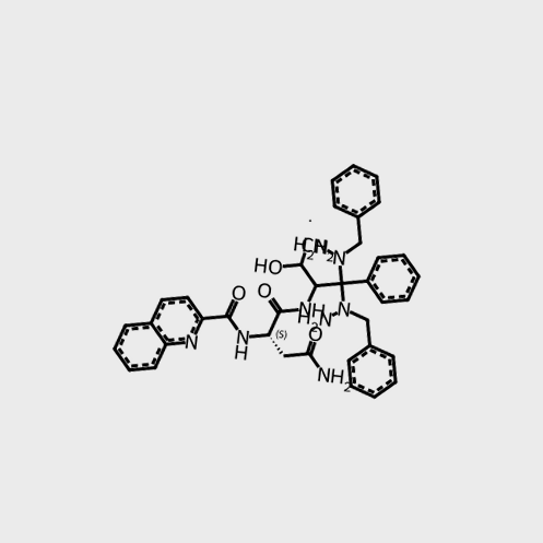 [CH2]C(O)C(NC(=O)[C@H](CC(N)=O)NC(=O)c1ccc2ccccc2n1)C(c1ccccc1)(N(N)Cc1ccccc1)N(N)Cc1ccccc1